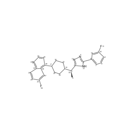 C[C@H](c1nnc(-c2cccc(F)c2)[nH]1)C1CCC(c2ccnc3ccc(F)cc23)CC1